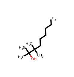 CCCCCCC(C)(C)C(C)(O)[SiH3]